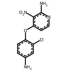 Nc1ccc(Oc2ccnc(N)c2[N+](=O)[O-])c(Cl)c1